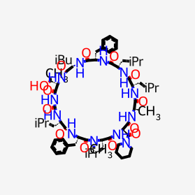 CC[C@H](C)[C@@H]1NC(=O)[C@H](Cc2ccccc2)NC(=O)[C@H](CC(C)C)NC(=O)[C@H](CC(C)C)NC(=O)[C@H](C)NC(=O)[C@@H](C(=O)N2CCCCC2)NC(=O)[C@H](CC(C)C)N(C)C(=O)[C@H](Cc2ccccc2)NC(=O)[C@H](CC(C)C)NC(=O)NC(=O)[C@H](C(C)O)NC1=O